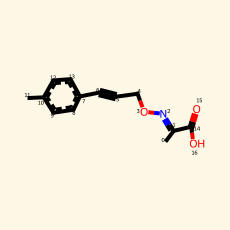 C/C(=N\OCC#Cc1ccc(C)cc1)C(=O)O